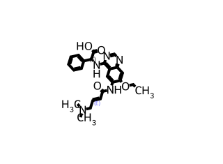 CCOc1cc2ncnc(N[C@H](C(=O)O)c3ccccc3)c2cc1NC(=O)/C=C/CN(C)C